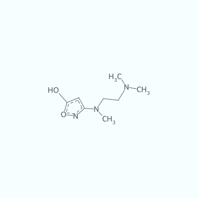 CN(C)CCN(C)c1cc(O)on1